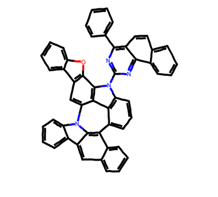 c1ccc(-c2nc(-n3c4cccc5c4c4c3c3oc6ccccc6c3cc4n3c4ccccc4c4cc6ccccc6c5c43)nc3c2ccc2ccccc23)cc1